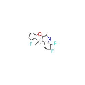 Cc1nc2c(F)c(F)ccc2cc1Oc1cccc(F)c1C(C)(C)C